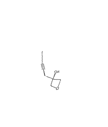 OC1(CC#CI)COC1